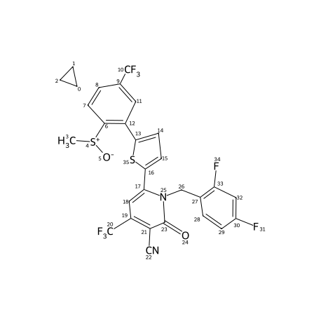 C1CC1.C[S+]([O-])c1ccc(C(F)(F)F)cc1-c1ccc(-c2cc(C(F)(F)F)c(C#N)c(=O)n2Cc2ccc(F)cc2F)s1